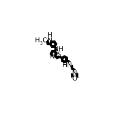 Cc1cc2cc(Nc3ccnc4cc(-c5ccc(CNCCCN6CCOCC6)cc5)sc34)ccc2[nH]1